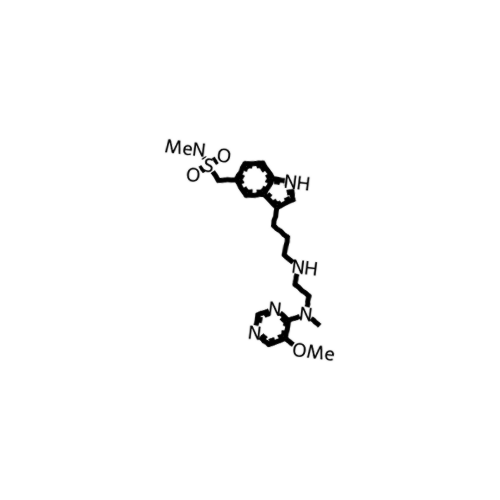 CNS(=O)(=O)Cc1ccc2[nH]cc(CCCNCCN(C)c3ncncc3OC)c2c1